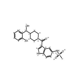 CCCN(c1ncccc1CC)C1CCN(C(=O)c2c[nH]c3ccc(NS(C)(=O)=O)cc23)CC1